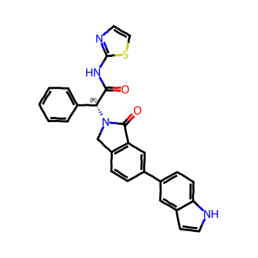 O=C(Nc1nccs1)[C@@H](c1ccccc1)N1Cc2ccc(-c3ccc4[nH]ccc4c3)cc2C1=O